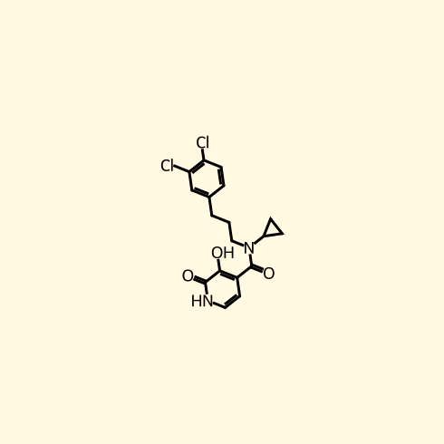 O=C(c1cc[nH]c(=O)c1O)N(CCCc1ccc(Cl)c(Cl)c1)C1CC1